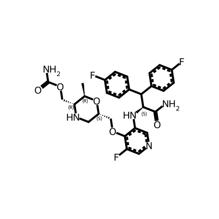 C[C@H]1O[C@H](COc2c(F)cncc2N[C@H](C(N)=O)C(c2ccc(F)cc2)c2ccc(F)cc2)CN[C@@H]1COC(N)=O